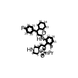 CCCS(=O)(=O)N1CCNCC1CCc1c(F)cccc1NC(=O)CC(c1ccc(F)cc1)C1CCCCC1